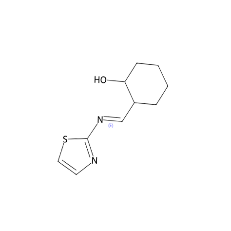 OC1CCCCC1/C=N/c1nccs1